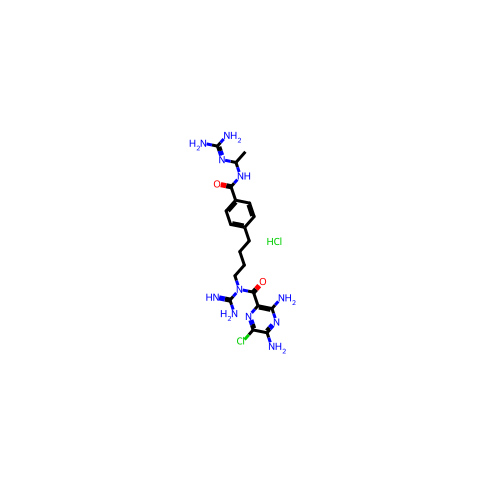 CC(N=C(N)N)NC(=O)c1ccc(CCCCN(C(=N)N)C(=O)c2nc(Cl)c(N)nc2N)cc1.Cl